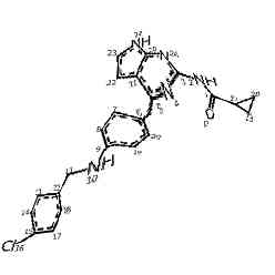 O=C(Nc1nc(-c2ccc(NCc3ccc(Cl)cc3)cc2)c2cc[nH]c2n1)C1CC1